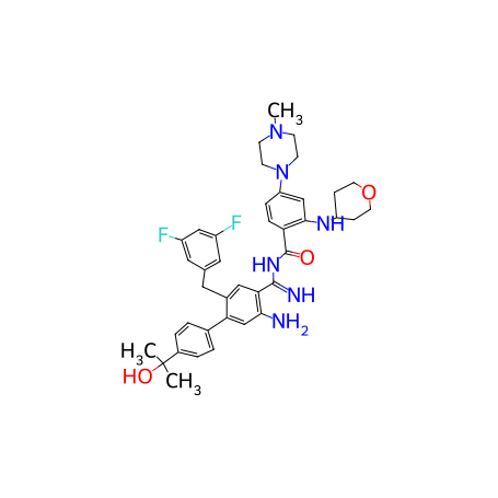 CN1CCN(c2ccc(C(=O)NC(=N)c3cc(Cc4cc(F)cc(F)c4)c(-c4ccc(C(C)(C)O)cc4)cc3N)c(NC3CCOCC3)c2)CC1